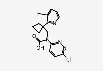 O=C(O)N(CC1(c2ncccc2F)CCC1)c1ccc(Cl)nn1